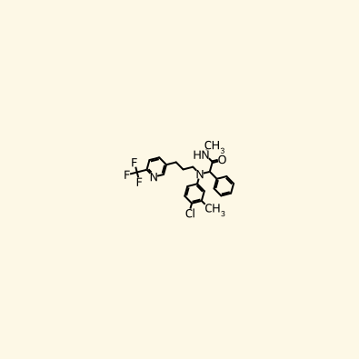 CNC(=O)C(c1ccccc1)N(CCCc1ccc(C(F)(F)F)nc1)c1ccc(Cl)c(C)c1